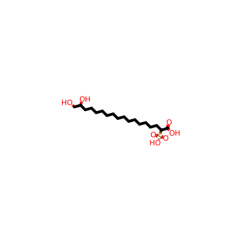 O=C(O)C(CCCCCCCCCCCCCCC(O)CO)S(=O)(=O)O